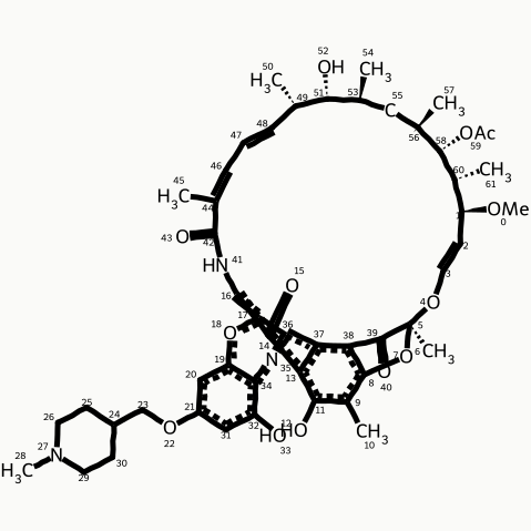 CO[C@H]1/C=C/O[C@@]2(C)Oc3c(C)c(O)c4c(=O)c(c5oc6cc(OCC7CCN(C)CC7)cc(O)c6nc-5c4c3C2=O)NC(=O)/C(C)=C\C=C\[C@H](C)[C@H](O)[C@@H](C)C[C@@H](C)[C@H](OC(C)=O)[C@@H]1C